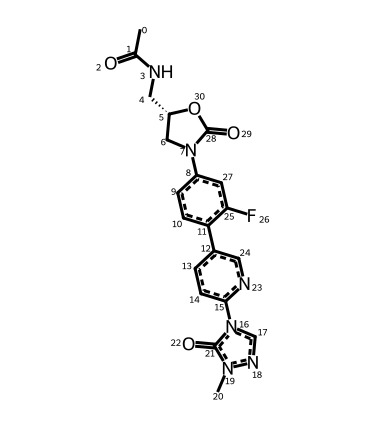 CC(=O)NC[C@H]1CN(c2ccc(-c3ccc(-n4cnn(C)c4=O)nc3)c(F)c2)C(=O)O1